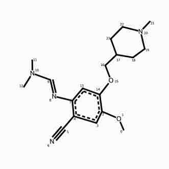 COc1cc(C#N)c(N=CN(C)C)cc1OCC1CCN(C)CC1